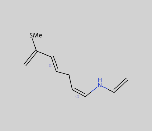 C=CN/C=C\C/C=C/C(=C)SC